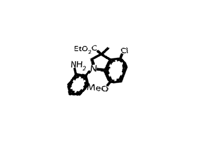 CCOC(=O)C1(C)CN(c2ccccc2N)c2c(OC)ccc(Cl)c21